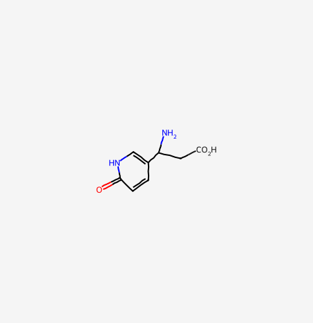 NC(CC(=O)O)c1ccc(=O)[nH]c1